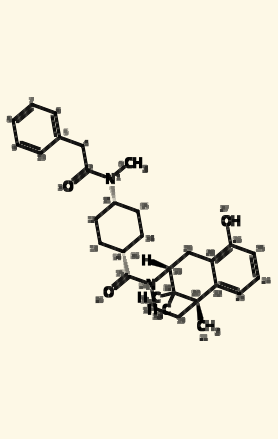 CN(C(=O)Cc1ccccc1)[C@H]1CC[C@@H](C(=O)N2CC[C@@]3(C)c4cccc(O)c4C[C@@H]2C3(C)C)CC1